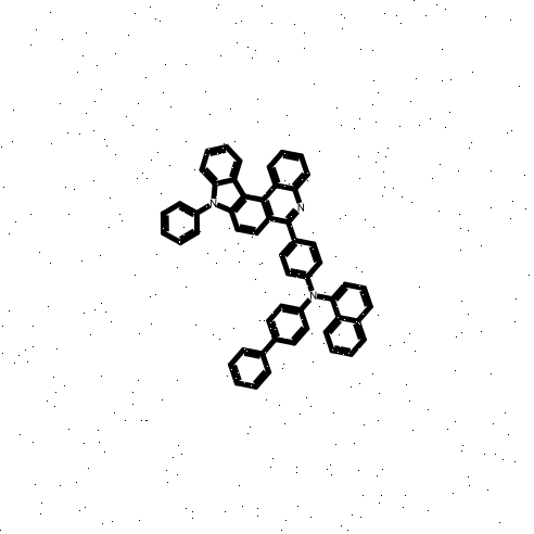 c1ccc(-c2ccc(N(c3ccc(-c4nc5ccccc5c5c4ccc4c5c5ccccc5n4-c4ccccc4)cc3)c3cccc4ccccc34)cc2)cc1